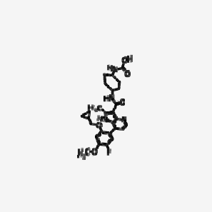 COc1cc(OCC2CC2)c(-c2ccnc3c(C(=O)NC4CCC(NC(=O)O)CC4)c(C)[nH]c23)cc1F